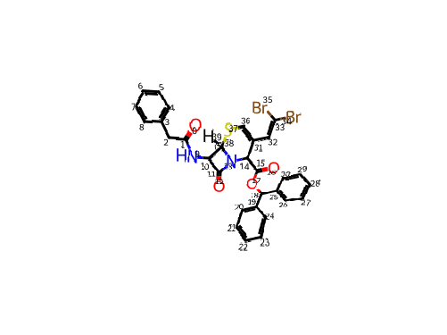 O=C(Cc1ccccc1)NC1C(=O)N2C(C(=O)OC(c3ccccc3)c3ccccc3)C(C=C(Br)Br)=CS[C@@H]12